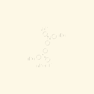 CCCCCC(C)(C)c1ccc(N(c2ccc(-c3ccc(N(c4ccc(C(C)CC)cc4)c4ccc(C(C)(C)CCC)cc4)cc3)cc2)c2ccc(C(C)CC)cc2)cc1